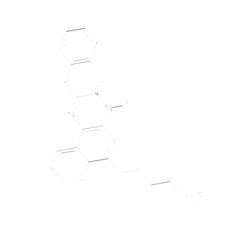 CCOC(=O)CCCOc1cc2c(nc(Cc3ccccc3)c(=O)n2C(C)=O)c2ccccc12